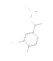 COc1cc(C(C)N[S+]([O-])C(C)(C)C)ccc1Br